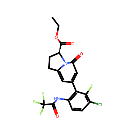 CCOC(=O)[C@@H]1CCc2cc(-c3c(NC(=O)C(F)(F)F)ccc(Cl)c3F)cc(=O)n21